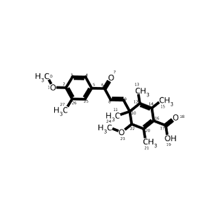 COc1ccc(C(=O)C=CC2(C)C(C)=C(C)C(C(=O)O)=C(C)C2OC)cc1C